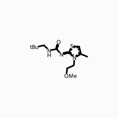 COCCn1c(C)cs/c1=N\C(=O)NCC(C)(C)C